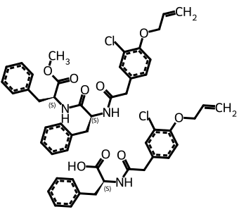 C=CCOc1ccc(CC(=O)N[C@@H](Cc2ccccc2)C(=O)N[C@@H](Cc2ccccc2)C(=O)OC)cc1Cl.C=CCOc1ccc(CC(=O)N[C@@H](Cc2ccccc2)C(=O)O)cc1Cl